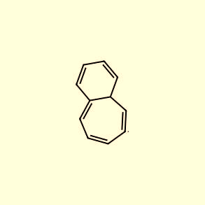 [C]1=CC2C=CC=CC2=CC=C1